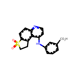 O=C(O)c1cccc(Nc2ccnc3ccc4c(c23)CCS4(=O)=O)c1